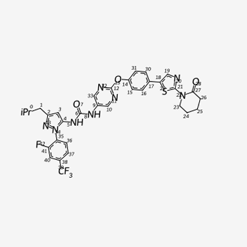 CC(C)Cc1cc(NC(=O)Nc2cnc(Oc3ccc(-c4cnc(N5CCCCC5=O)s4)cc3)nc2)n(-c2ccc(C(F)(F)F)cc2F)n1